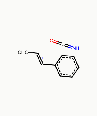 N=C=O.O=C/C=C/c1ccccc1